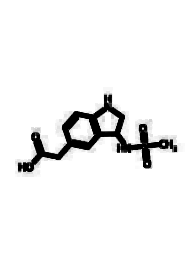 CS(=O)(=O)NC1CNc2ccc(CC(=O)O)cc21